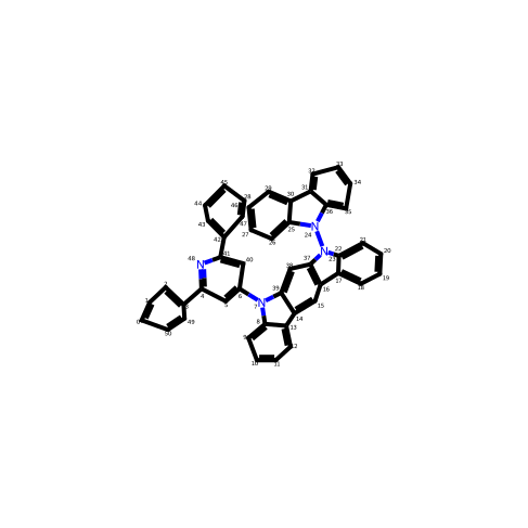 c1ccc(-c2cc(-n3c4ccccc4c4cc5c6ccccc6n(-n6c7ccccc7c7ccccc76)c5cc43)cc(-c3ccccc3)n2)cc1